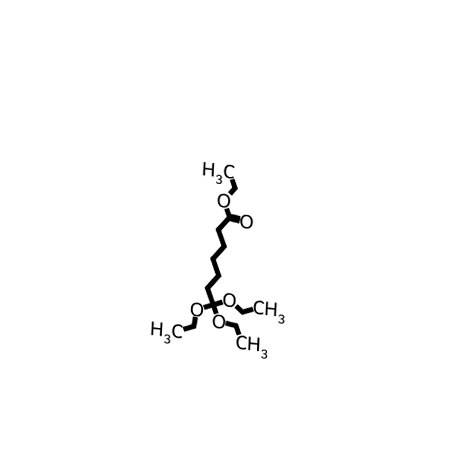 CCOC(=O)CCCCCC(OCC)(OCC)OCC